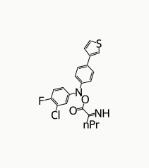 CCCC(=N)C(=O)ON(c1ccc(-c2ccsc2)cc1)c1ccc(F)c(Cl)c1